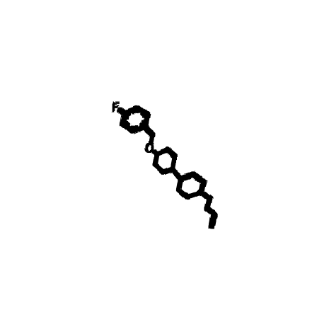 C=CCCC1CCC(C2CCC(OCc3ccc(F)cc3)CC2)CC1